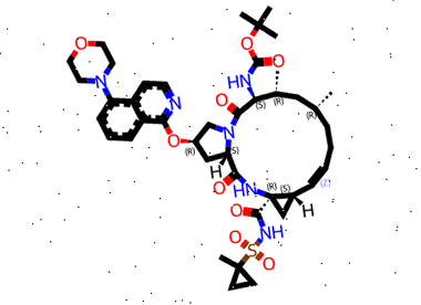 C[C@@H]1CC/C=C\[C@@H]2C[C@@]2(C(=O)NS(=O)(=O)C2(C)CC2)NC(=O)[C@@H]2C[C@@H](Oc3nccc4c(N5CCOCC5)cccc34)CN2C(=O)[C@@H](NC(=O)OC(C)(C)C)[C@H](C)C1